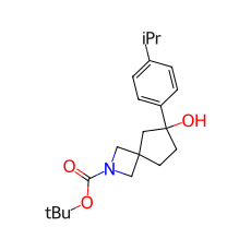 CC(C)c1ccc(C2(O)CCC3(CN(C(=O)OC(C)(C)C)C3)C2)cc1